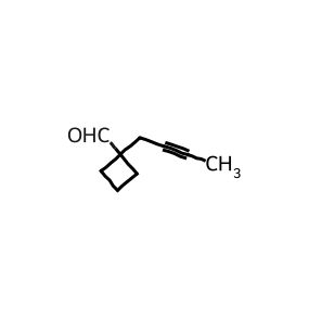 CC#CCC1(C=O)CCC1